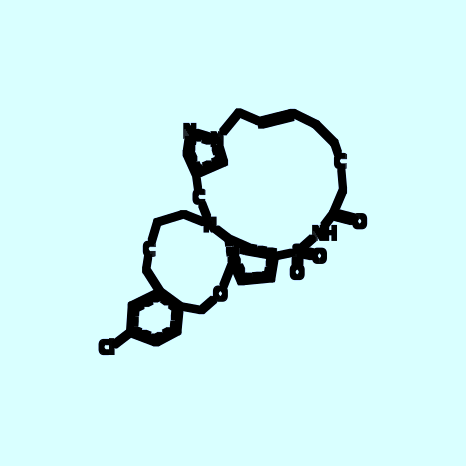 O=C1CCCC/C=C/Cn2cc(cn2)CN2CCCCc3cc(Cl)ccc3COc3ccc(cc32)S(=O)(=O)N1